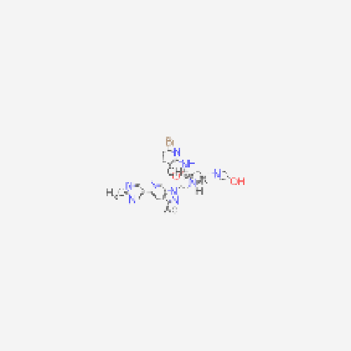 CC(=O)c1nn(CCN2[C@H](C(=O)Nc3nc(Br)ccc3C)C[C@@]3(CN4CC(O)C4)C[C@@H]23)c2cnc(-c3cnc(C)nc3)cc12